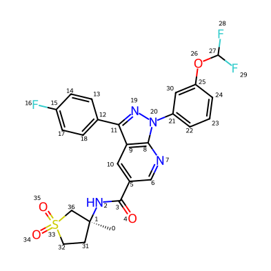 C[C@]1(NC(=O)c2cnc3c(c2)c(-c2ccc(F)cc2)nn3-c2cccc(OC(F)F)c2)CCS(=O)(=O)C1